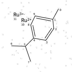 Cc1ccc(C(C)C)cc1.[Ru+2].[Ru+3]